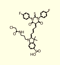 CC1(C)/C(=C\C=C\C=C2C(=O)N(c3ccc(F)cc3)C(=S)N(c3ccc(F)cc3)C2=O)N(CCCNC(=O)CCl)c2ccc(S(=O)O)cc21